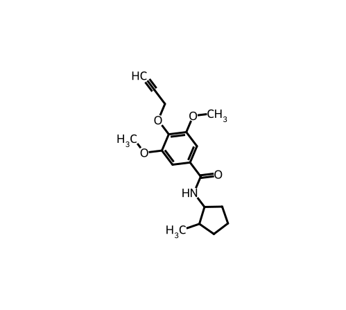 C#CCOc1c(OC)cc(C(=O)NC2CCCC2C)cc1OC